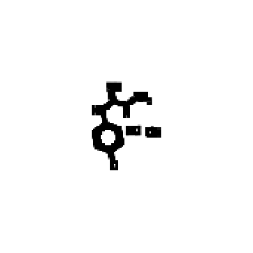 Cl.Cl.N=C(NN)Nc1ccc(Cl)cc1